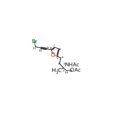 CC(=O)N[C@](C)(CCc1ccc(C#CCBr)o1)COC(C)=O